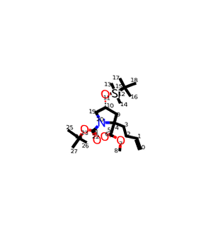 C=CCCC1(C(=O)OC)C[C@@H](O[Si](C)(C)C(C)(C)C)CN1C(=O)OC(C)(C)C